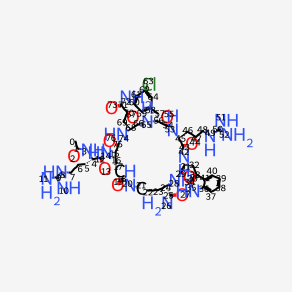 CC(=O)N[C@@H](CCCNC(=N)N)C(=O)N[C@H]1CCC(=O)NCCC[C@@H](C(N)=O)NC(=O)[C@H](Cc2c[nH]c3ccccc23)NC(=O)[C@H](CCCNC(=N)N)NC(=O)[C@@H](Cc2cccc(Cl)c2)NC(=O)[C@H](CCC(N)=O)NC1=O